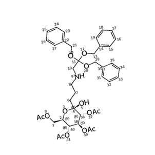 CC(=O)OC[C@H]1O[C@](O)(CCCNCC(OCc2ccccc2)(OCc2ccccc2)OCc2ccccc2)[C@H](OC(C)=O)[C@@H](OC(C)=O)[C@@H]1OC(C)=O